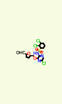 O=Cc1ccc(COc2nc(Cl)cnc2NS(=O)(=O)c2cccc(Cl)c2Cl)o1